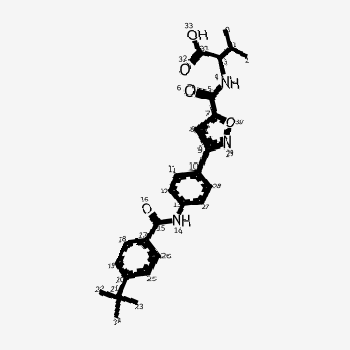 CC(C)C(NC(=O)c1cc(-c2ccc(NC(=O)c3ccc(C(C)(C)C)cc3)cc2)no1)C(=O)O